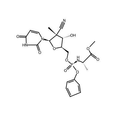 COC(=O)[C@H](C)N[P@@](=O)(OC[C@H]1O[C@@H](n2ccc(=O)[nH]c2=O)[C@](C)(C#N)[C@@H]1O)Oc1ccccc1